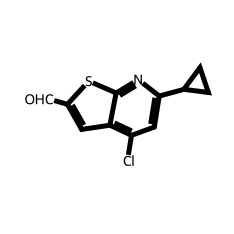 O=Cc1cc2c(Cl)cc(C3CC3)nc2s1